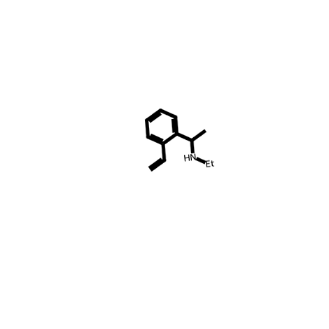 C=Cc1ccccc1C(C)NCC